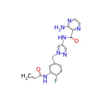 C=CC(=O)Nc1cc(Cn2cc(NC(=O)c3nccnc3N)cn2)ccc1F